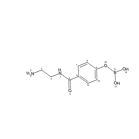 NCCNC(=O)c1ccc(OB(O)O)cc1